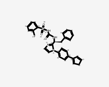 O=C(N[C@@H](Cc1ccccc1)c1nccn1-c1ccc(C2=CCC=C2)cc1)NS(=O)(=O)c1ccccc1F